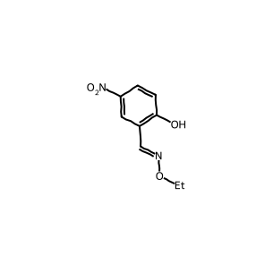 CCO/N=C/c1cc([N+](=O)[O-])ccc1O